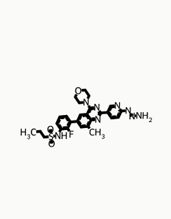 CCCS(=O)(=O)Nc1cccc(-c2cc(C)c3nc(-c4ccc(N=NN)nc4)nc(N4CCOCC4)c3c2)c1F